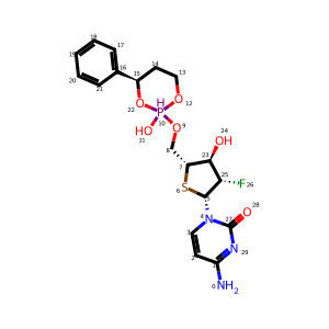 Nc1ccn([C@@H]2S[C@H](CO[PH]3(O)OCC[C@H](c4ccccc4)O3)[C@@H](O)[C@@H]2F)c(=O)n1